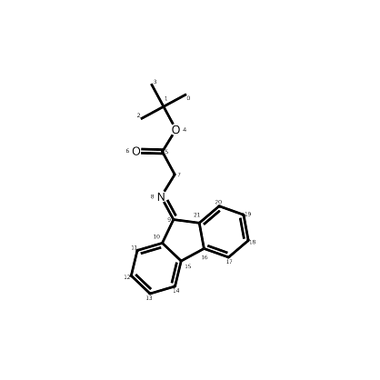 CC(C)(C)OC(=O)CN=C1c2ccccc2-c2ccccc21